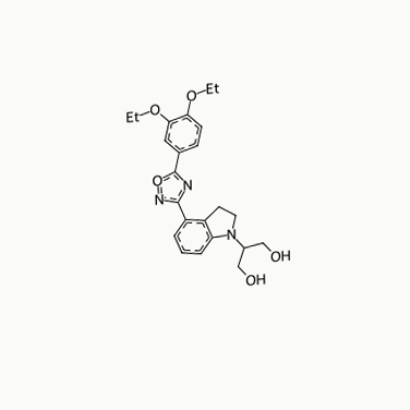 CCOc1ccc(-c2nc(-c3cccc4c3CCN4C(CO)CO)no2)cc1OCC